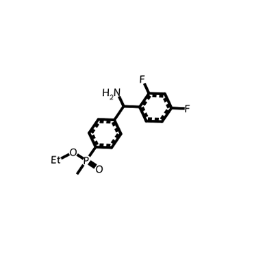 CCOP(C)(=O)c1ccc(C(N)c2ccc(F)cc2F)cc1